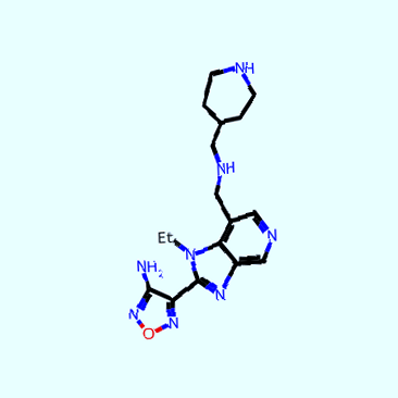 CCn1c(-c2nonc2N)nc2cncc(CNCC3CCNCC3)c21